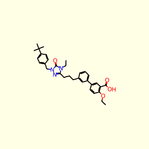 CCOc1ccc(-c2cccc(CCCc3nn(Cc4ccc(C(C)(C)C)cc4)c(=O)n3CC)c2)cc1C(=O)O